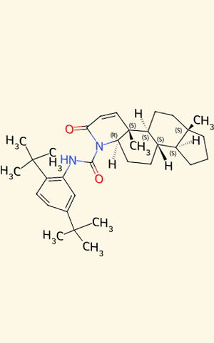 CC(C)(C)c1ccc(C(C)(C)C)c(NC(=O)N2C(=O)C=C[C@]3(C)[C@H]4CC[C@]5(C)CCC[C@H]5[C@@H]4CC[C@@H]23)c1